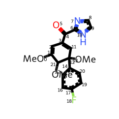 COC1=CC(C(=O)c2ncc[nH]2)=CC(OC)(c2ccc(F)cc2)C1OC